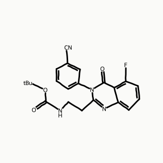 CC(C)(C)OC(=O)NCCc1nc2cccc(F)c2c(=O)n1-c1cccc(C#N)c1